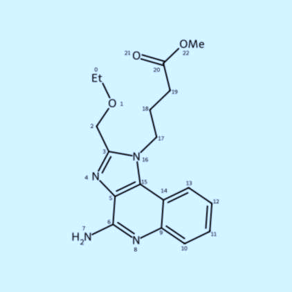 CCOCc1nc2c(N)nc3ccccc3c2n1CCCC(=O)OC